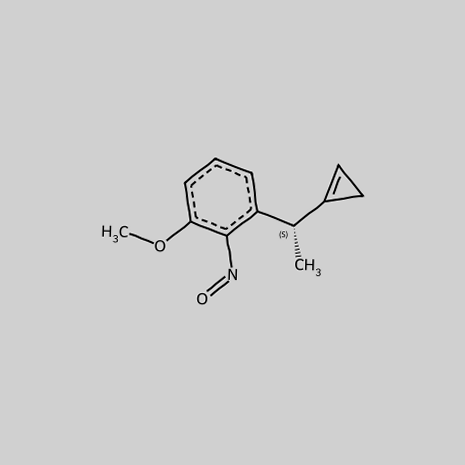 COc1cccc([C@@H](C)C2=CC2)c1N=O